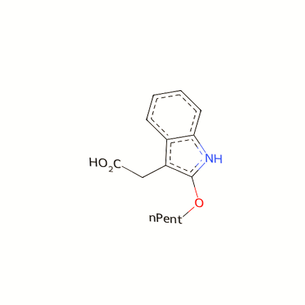 CCCCCOc1[nH]c2ccccc2c1CC(=O)O